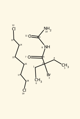 CCC(Br)(CC)C(=O)NC(N)=O.ClCCCCCCCl